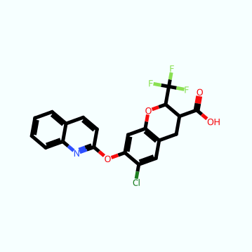 O=C(O)C1Cc2cc(Cl)c(Oc3ccc4ccccc4n3)cc2OC1C(F)(F)F